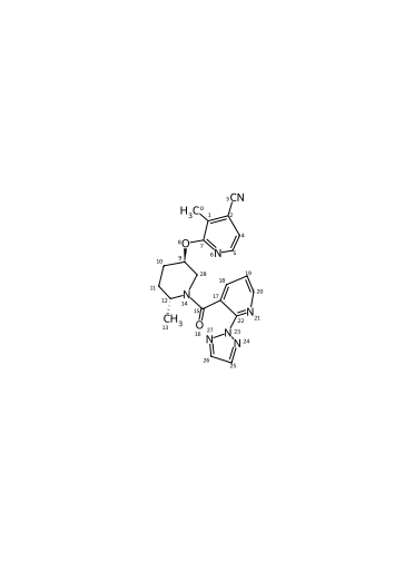 Cc1c(C#N)ccnc1O[C@@H]1CC[C@@H](C)N(C(=O)c2cc[c]nc2-n2nccn2)C1